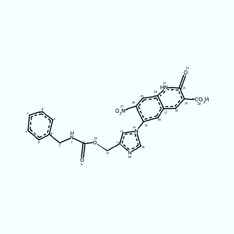 O=C(NCc1ccccc1)OCc1cn(-c2cc3cc(C(=O)O)c(=O)[nH]c3cc2[N+](=O)[O-])cn1